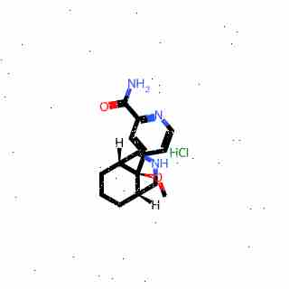 CO[C@]1(c2ccnc(C(N)=O)c2)[C@@H]2CCC[C@H]1CNC2.Cl